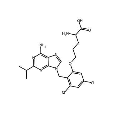 CC(C)c1nc(N)c2ncn(Cc3c(Cl)cc(Cl)cc3OCCCC(N)C(=O)O)c2n1